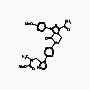 COC(=O)N(C)Cc1nccn1-c1ccc(N2CCc3c(C(N)=O)nn(-c4ccc(OC)cc4)c3C2=O)cc1